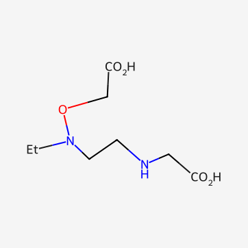 CCN(CCNCC(=O)O)OCC(=O)O